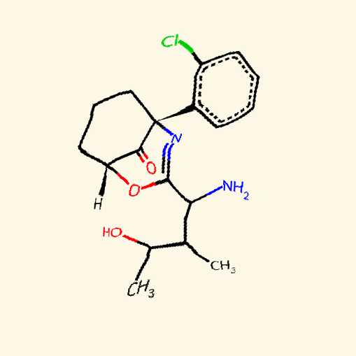 CC(O)C(C)C(N)C1=N[C@@]2(c3ccccc3Cl)CCC[C@@H](O1)C2=O